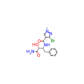 Cn1cc(C(=O)NC(Cc2ccccc2)C(O)C(N)=O)c(Br)n1